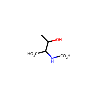 CC(O)C(NC(=O)O)C(=O)O